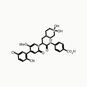 COc1cn(C(CC2CCS(O)(O)CC2)C(=O)Nc2ccc(C(=O)O)cc2)c(=O)cc1-c1cc(Cl)ccc1C#N